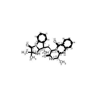 C[C@@H]1NC(=O)[C@@H](C[C@]2(O)c3ccccc3N3C(=O)C(C)(C)NC32)n2c1nc1ccccc1c2=O